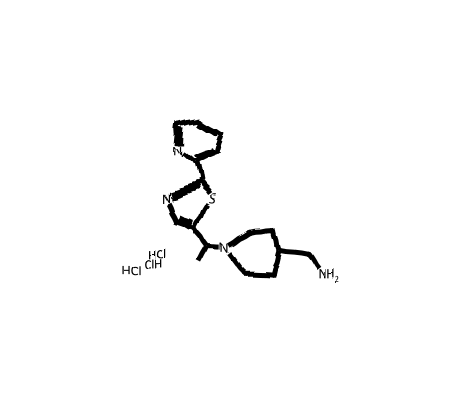 CC(c1cnc(-c2ccccn2)s1)N1CCC(CN)CC1.Cl.Cl.Cl